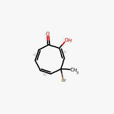 CC1(Br)/C=C\C=C/C(=O)/C(O)=C\1